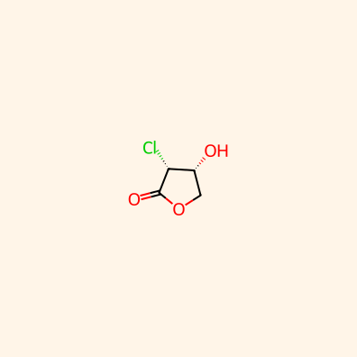 O=C1OC[C@@H](O)[C@H]1Cl